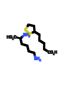 NCCCC[C@H](N)C(=O)O.O=C(O)CCCCC1CCSS1